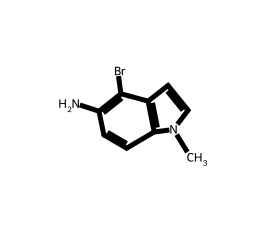 Cn1ccc2c(Br)c(N)ccc21